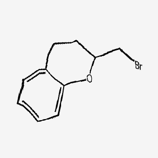 BrCC1CCc2ccccc2O1